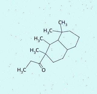 CCC(=O)C1(C)CCC2CCCC(C)(C)C2C1C